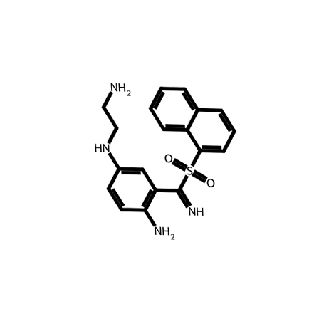 N=C(c1cc(NCCN)ccc1N)S(=O)(=O)c1cccc2ccccc12